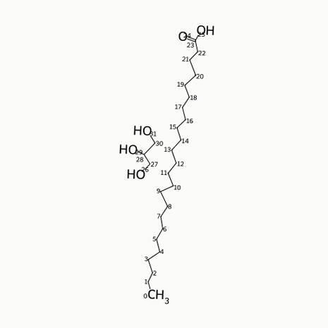 CCCCCCCCCCCCCCCCCCCCCCCC(=O)O.OCC(O)CO